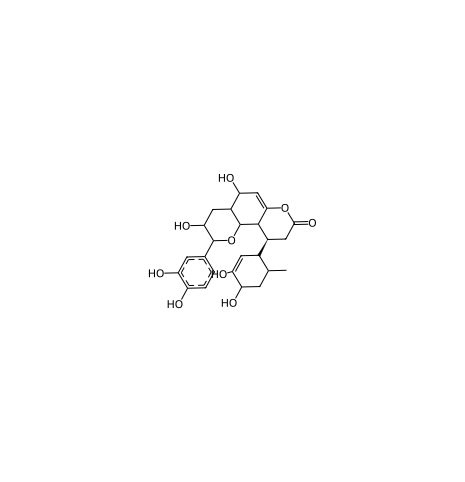 CC1CC(O)C(O)=CC1[C@@H]1CC(=O)OC2=CC(O)C3CC(O)C(c4ccc(O)c(O)c4)OC3C21